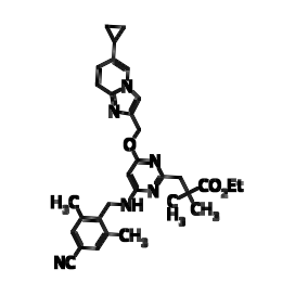 CCOC(=O)C(C)(C)Cc1nc(NCc2c(C)cc(C#N)cc2C)cc(OCc2cn3cc(C4CC4)ccc3n2)n1